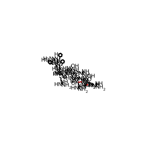 CC(C)[C@H](NC(=O)[C@H](CCCNC(=N)N)NC(=O)[C@H](CO)NC(=O)[C@H](C)NC(=O)[C@@H]1CCCN1C(=O)[C@H](CCCNC(=N)N)NC(=O)[C@H](CO)NC(=O)[C@H](Cc1ccccc1)NC(=O)[C@H](Cc1ccc(O)cc1)NC(=O)[C@H](Cc1ccccc1)NC(=O)CN)C(=O)N[C@@H](CO)C(=O)N[C@@H](CCCNC(=N)N)C(=O)N[C@@H](CCCNC(=N)N)C(=O)N[C@@H](CO)C(=O)N[C@@H](CCCNC(=N)N)C(=O)O